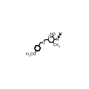 COc1ccc(COCC2CC(C)C(N=[N+]=[N-])C(O)O2)cc1